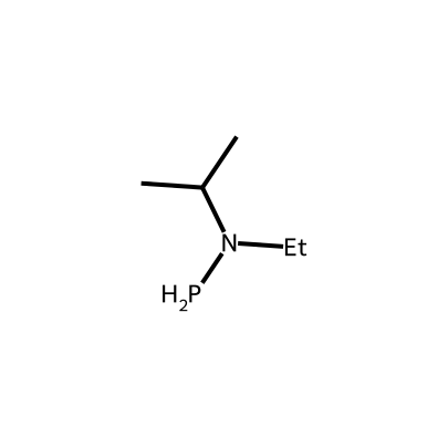 CCN(P)C(C)C